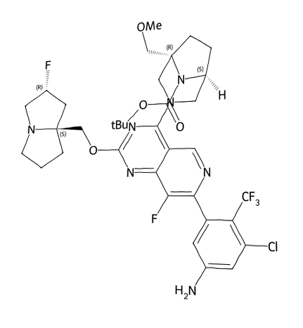 COC[C@@]12CC[C@@H](CN(c3nc(OC[C@@]45CCCN4C[C@H](F)C5)nc4c(F)c(-c5cc(N)cc(Cl)c5C(F)(F)F)ncc34)C1)N2C(=O)OC(C)(C)C